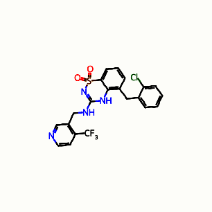 O=S1(=O)N=C(NCc2cnccc2C(F)(F)F)Nc2c(Cc3ccccc3Cl)cccc21